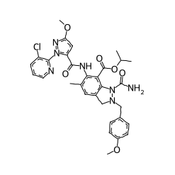 COc1ccc(CN2Cc3cc(C)c(NC(=O)c4cc(OC)nn4-c4ncccc4Cl)c(C(=O)OC(C)C)c3N2C(N)=O)cc1